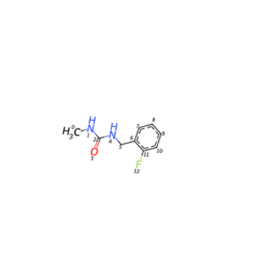 CNC(=O)NCc1ccccc1F